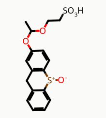 CC(OCCS(=O)(=O)O)Oc1ccc2c(c1)Cc1ccccc1[S+]2[O-]